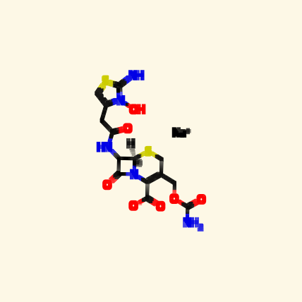 N=c1scc(CC(=O)NC2C(=O)N3C(C(=O)[O-])=C(COC(N)=O)CS[C@H]23)n1O.[Na+]